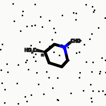 O=[C]N1CCC[C@@H](C(=O)O)C1